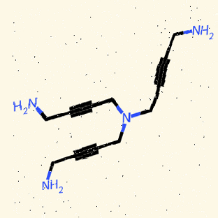 NCC#CCN(CC#CCN)CC#CCN